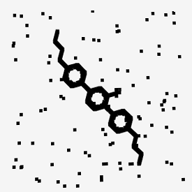 CCCCc1ccc(-c2ccc(-c3ccc(CCCC)cc3)c(F)c2)cc1